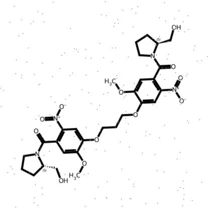 COc1cc(C(=O)N2CCC[C@H]2CO)c([N+](=O)[O-])cc1OCCCOc1cc([N+](=O)[O-])c(C(=O)N2CCC[C@H]2CO)cc1OC